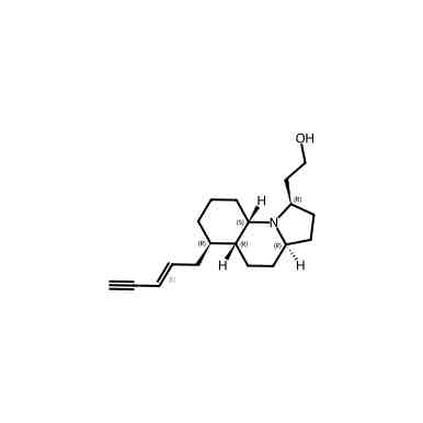 C#C/C=C/C[C@H]1CCC[C@H]2[C@@H]1CC[C@@H]1CC[C@H](CCO)N12